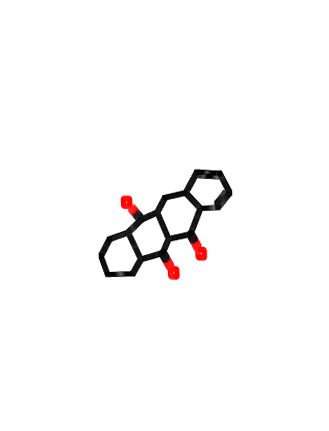 O=C1C2CCCCC2C(=O)C2C(=O)C3C=CC=CC3CC12